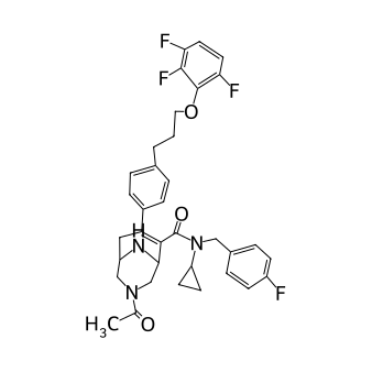 CC(=O)N1CC2CC(c3ccc(CCCOc4c(F)ccc(F)c4F)cc3)=C(C(=O)N(Cc3ccc(F)cc3)C3CC3)C(C1)N2